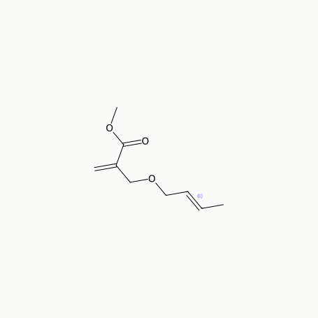 C=C(COC/C=C/C)C(=O)OC